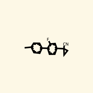 Cc1ccc(-c2ccc(C3(C#N)CC3)cc2F)cc1